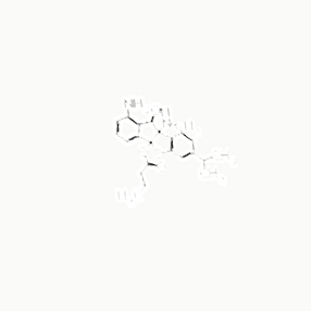 CCCC(=O)OC12Oc3cc(C(C)C)ccc3C1(NC)C(=O)c1c(N)cccc12